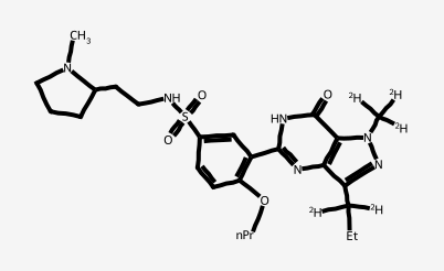 [2H]C([2H])(CC)c1nn(C([2H])([2H])[2H])c2c(=O)[nH]c(-c3cc(S(=O)(=O)NCCC4CCCN4C)ccc3OCCC)nc12